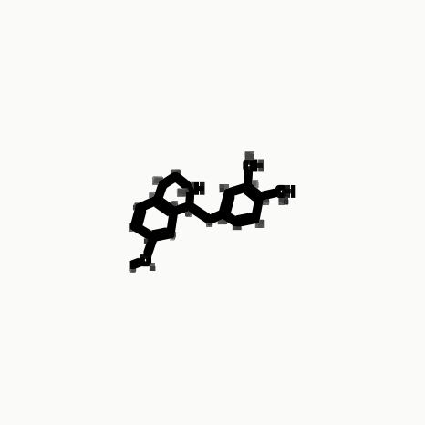 COc1ccc2c(c1)C(Cc1ccc(O)c(O)c1)NCC2